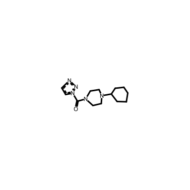 O=C(N1CCN(C2CCCCC2)CC1)n1ccnn1